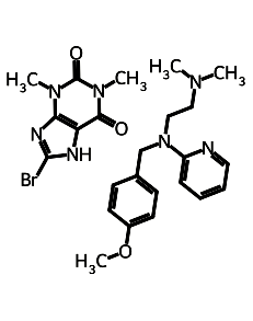 COc1ccc(CN(CCN(C)C)c2ccccn2)cc1.Cn1c(=O)c2[nH]c(Br)nc2n(C)c1=O